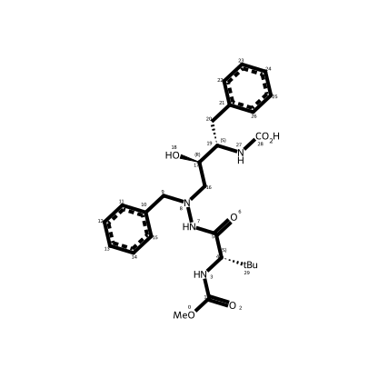 COC(=O)N[C@H](C(=O)NN(Cc1ccccc1)C[C@@H](O)[C@H](Cc1ccccc1)NC(=O)O)C(C)(C)C